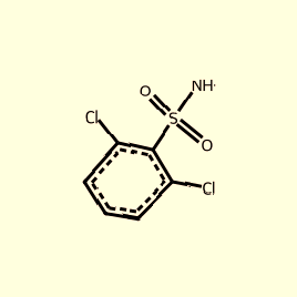 [NH]S(=O)(=O)c1c(Cl)cccc1Cl